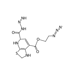 [N-]=[N+]=NCCOC(=O)C1=CC(C(=O)NN=N)NC2=C1NCS2